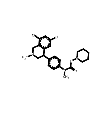 CN1Cc2c(Cl)cc(Cl)cc2C(c2ccc(N(C)C(=O)ON3CCCCC3)cc2)C1